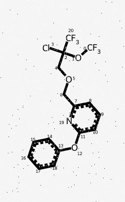 FC(F)(F)OC(Cl)(COCc1cccc(Oc2ccccc2)n1)C(F)(F)F